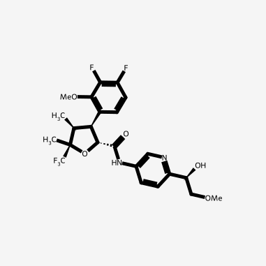 COC[C@H](O)c1ccc(NC(=O)[C@@H]2O[C@@](C)(C(F)(F)F)[C@@H](C)[C@H]2c2ccc(F)c(F)c2OC)cn1